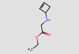 CCOC(=O)CNC1C=CC1